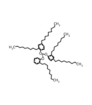 CCCCCCCCCc1ccc(OP(Oc2ccccc2CCCCCCCCC)Oc2ccc(CCCCCCCCC)cc2CCCCCCCCC)c(CCCCCCCCC)c1